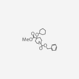 COC(=O)C1(OC2CCCCC2)CCN(C(=O)OCc2ccccc2)CC1